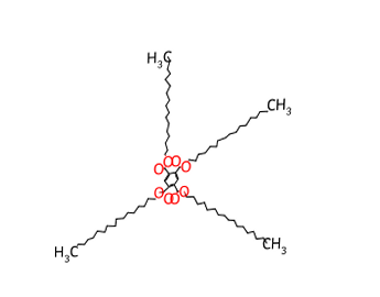 CCCCCCCCCCCCCCCCCOC(=O)c1cc(C(=O)OCCCCCCCCCCCCCCCCC)c(C(=O)OCCCCCCCCCCCCCCCCC)cc1C(=O)OCCCCCCCCCCCCCCCCC